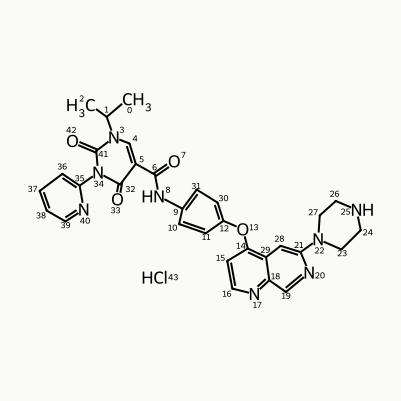 CC(C)n1cc(C(=O)Nc2ccc(Oc3ccnc4cnc(N5CCNCC5)cc34)cc2)c(=O)n(-c2ccccn2)c1=O.Cl